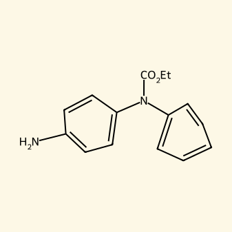 CCOC(=O)N(c1ccccc1)c1ccc(N)cc1